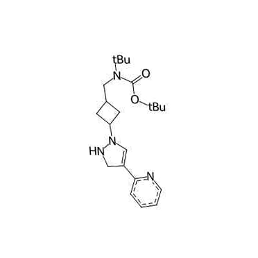 CC(C)(C)OC(=O)N(CC1CC(N2C=C(c3ccccn3)CN2)C1)C(C)(C)C